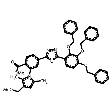 COCc1cc(C)n(-c2cc(-c3nnc(-c4ccc(OCc5ccccc5)c(OCc5ccccc5)c4OCc4ccccc4)o3)ccc2C(=O)OC)c1C